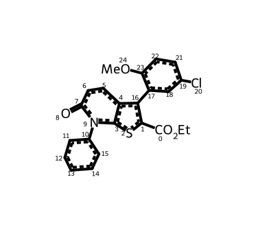 CCOC(=O)c1sc2c(ccc(=O)n2-c2ccccc2)c1-c1cc(Cl)ccc1OC